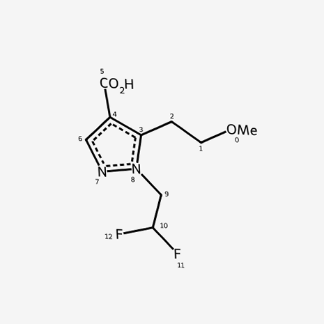 COCCc1c(C(=O)O)cnn1CC(F)F